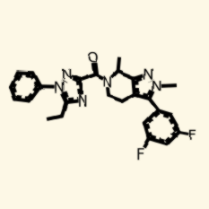 CCc1nc(C(=O)N2CCc3c(nn(C)c3-c3cc(F)cc(F)c3)C2C)nn1-c1ccccc1